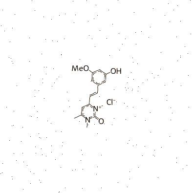 COc1cc(O)cc(C=Cc2cc(C)n(C)c(=O)[n+]2C)c1.[Cl-]